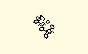 c1ccc(-c2cc(-c3cccc4oc5ccccc5c34)nc(-c3cccc(-n4c5ccccc5c5cc6sc7ccccc7c6cc54)c3)n2)cc1